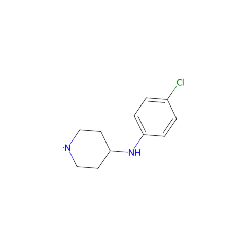 Clc1ccc(NC2CC[N]CC2)cc1